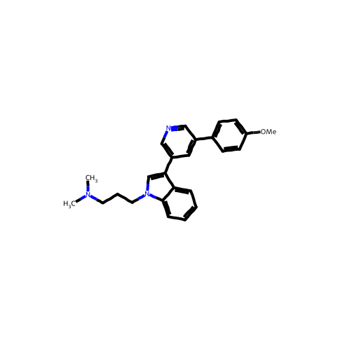 COc1ccc(-c2cncc(-c3cn(CCCN(C)C)c4ccccc34)c2)cc1